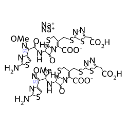 CO/N=C(\C(=O)NC1C(=O)N2C(C(=O)[O-])=C(CSc3nnc(CC(=O)O)s3)CS[C@H]12)c1csc(N)n1.CO/N=C(\C(=O)NC1C(=O)N2C(C(=O)[O-])=C(CSc3nnc(CC(=O)O)s3)CS[C@H]12)c1csc(N)n1.[Na+].[Na+]